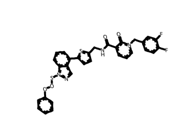 O=C(NCc1ccc(-c2cccc3c2cnn3SOOc2ccccc2)s1)c1cccn(Cc2ccc(F)c(F)c2)c1=O